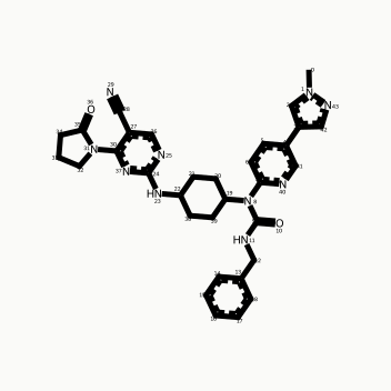 Cn1cc(-c2ccc(N(C(=O)NCc3ccccc3)C3CCC(Nc4ncc(C#N)c(N5CCCC5=O)n4)CC3)nc2)cn1